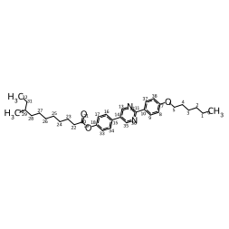 CCCCCCOc1ccc(-c2ncc(-c3ccc(OC(=O)CCCCCCCC(C)CC)cc3)cn2)cc1